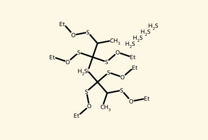 CCOSC(C)C([SiH2]C(SOCC)(SOCC)C(C)SOCC)(SOCC)SOCC.S.S.S.S